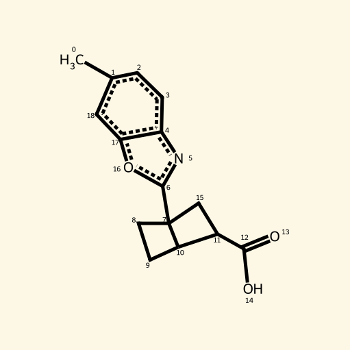 Cc1ccc2nc(C34CCC3C(C(=O)O)C4)oc2c1